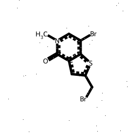 Cn1cc(Br)c2sc(CBr)cc2c1=O